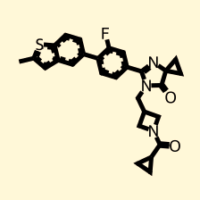 Cc1cc2cc(-c3ccc(C4=NC5(CC5)C(=O)N4CC4CN(C(=O)C5CC5)C4)cc3F)ccc2s1